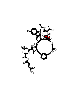 CONC(=O)[C@@H](NC(=O)[C@@H]1[C@@H]2CCN1C(=O)[C@H](Cc1c[nH]c3ccc(F)cc13)NC(=O)[C@@H](NC(=O)[C@@H](CNI)NC(=O)[C@H](C)NC(=O)CCC(N)=O)Cc1cccc(c1)CNC(=O)CO2)[C@@H](C)O